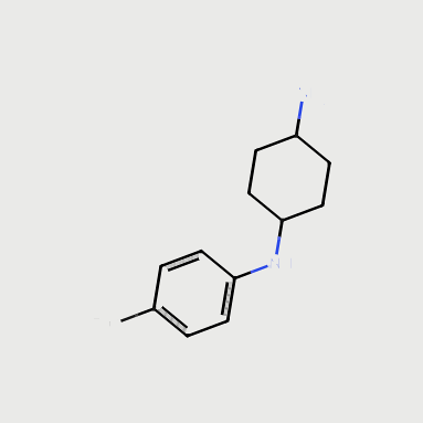 NC1CCC(Nc2ccc(C(F)(F)F)cc2)CC1